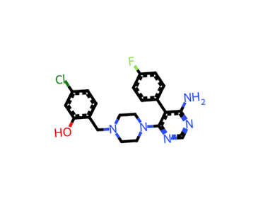 Nc1ncnc(N2CCN(Cc3ccc(Cl)cc3O)CC2)c1-c1ccc(F)cc1